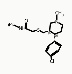 CC(C)NC(=O)CSC[C@H]1CN(C)CC[C@@H]1c1ccc(Cl)cc1